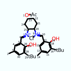 CC(=O)[O-].Cc1cc(C=[N+]2[Cr][N+](=Cc3cc(C)cc(C(C)(C)C)c3O)C3CCCCC32)c(O)c(C(C)(C)C)c1